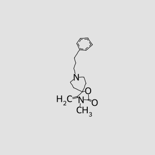 C=C1N(C)C(=O)OC12CCN(CCCc1ccccc1)CC2